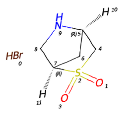 Br.O=S1(=O)C[C@H]2C[C@@H]1CN2